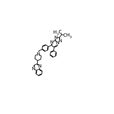 CC(C)c1nc2nc(-c3ccc(CN4CCC(c5cnc6ccccc6n5)CC4)cc3)c(-c3ccccc3)cn2n1